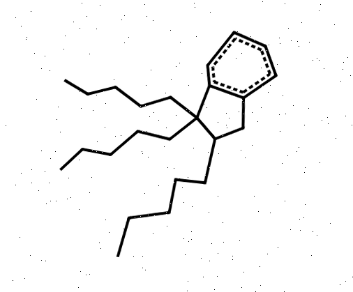 CCCCCC1Cc2ccccc2C1(CCCCC)CCCCC